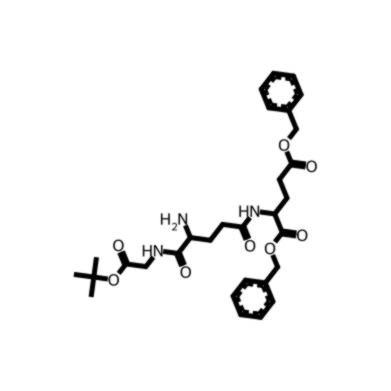 CC(C)(C)OC(=O)CNC(=O)C(N)CCC(=O)NC(CCC(=O)OCc1ccccc1)C(=O)OCc1ccccc1